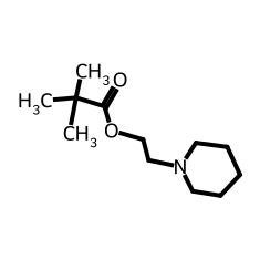 CC(C)(C)C(=O)OCCN1CCCCC1